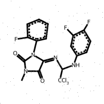 CN1C(=O)C(=NC(Nc2ccc(F)c(F)c2)C(Cl)(Cl)Cl)N(c2ccccc2F)C1=O